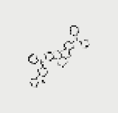 c1ccc(N(c2ccccc2)c2ccc3c(c2)Sc2cccc4c2c-3cc2ccc(N(c3ccccc3)c3ccc5oc6ccccc6c5c3)cc24)cc1